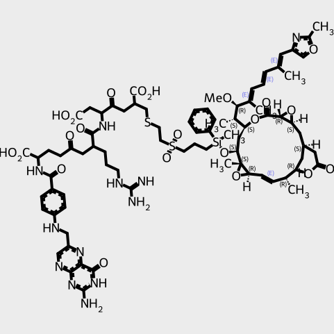 CO[C@@H](/C(C)=C/C=C/C(C)=C/c1coc(C)n1)[C@@H](C)[C@@H]1C[C@H](O[Si](C)(CCCS(=O)(=O)CCSCC(CC(=O)C(CC(=O)O)NC(=O)C(CCCNC(=N)N)CC(=O)CCC(NC(=O)c2ccc(NCc3cnc4nc(N)[nH]c(=O)c4n3)cc2)C(=O)O)C(=O)O)c2ccccc2)[C@@]2(C)O[C@@H]2/C=C/[C@@H](C)[C@H]2C[C@H](CC(=O)O2)C[C@@H]2O[C@H]2C(=O)O1